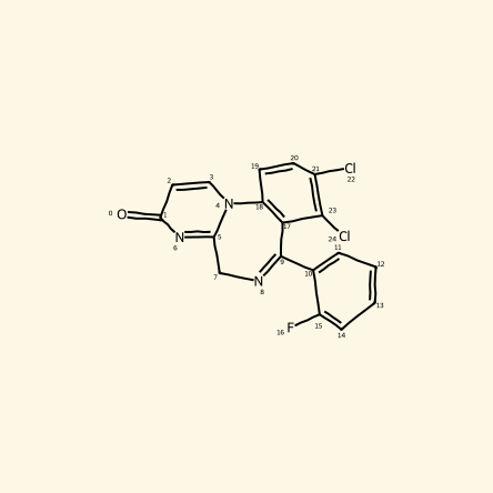 O=c1ccn2c(n1)CN=C(c1ccccc1F)c1c-2ccc(Cl)c1Cl